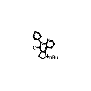 CCCCN1CCc2c1c1cccnc1n(-c1ccccc1)c2=O